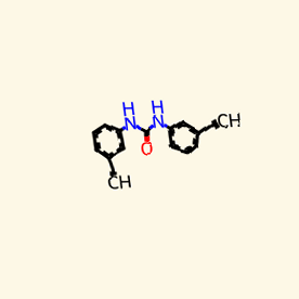 C#Cc1cccc(NC(=O)Nc2cccc(C#C)c2)c1